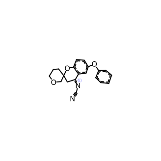 N#C/N=C1\CC2(CCCOC2)Oc2ccc(Oc3ccccc3)cc21